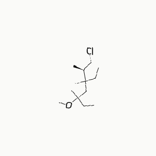 CCC(C)(CC(C)(CC)[C@@H](C)CCl)OC